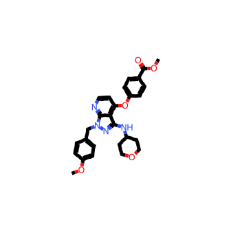 COC(=O)c1ccc(Oc2ccnc3c2c(NC2CCOCC2)nn3Cc2ccc(OC)cc2)cc1